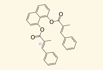 CC(=Cc1ccccc1)C(=O)Oc1cccc2cccc(OC(=O)/C(C)=C/c3ccccc3)c12